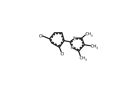 Cc1nc(-c2ccc(Cl)cc2Cl)nc(C)c1C